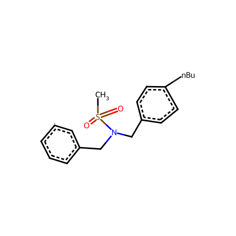 CCCCc1ccc(CN(Cc2c[c]ccc2)S(C)(=O)=O)cc1